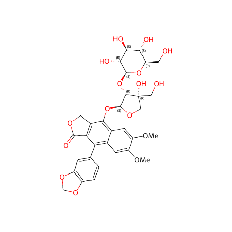 COc1cc2c(O[C@@H]3OC[C@](O)(CO)[C@H]3O[C@@H]3O[C@H](CO)[C@@H](O)[C@H](O)[C@H]3O)c3c(c(-c4ccc5c(c4)OCO5)c2cc1OC)C(=O)OC3